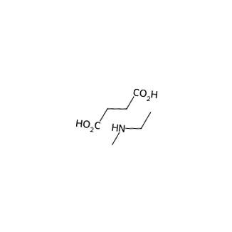 CCNC.O=C(O)CCC(=O)O